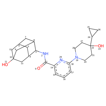 O=C(NC1C2CC3CC1CC(O)(C3)C2)c1cccc(N2CCC(O)(C3CC3)CC2)n1